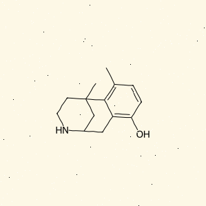 Cc1ccc(O)c2c1C1(C)CCNC(C2)C1